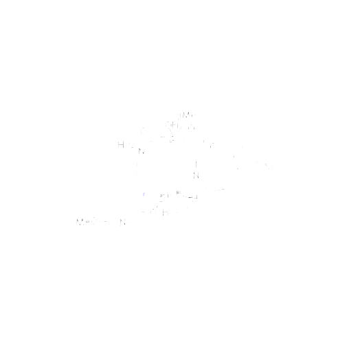 COC(=O)[C@@]1(O)CC(=O)N(C)CC/C=C/[C@H](OCCN2CC(OC)C2)[C@@H]2CC[C@H]2CN2CCCCc3cc(Cl)ccc3COc3ccc1cc32